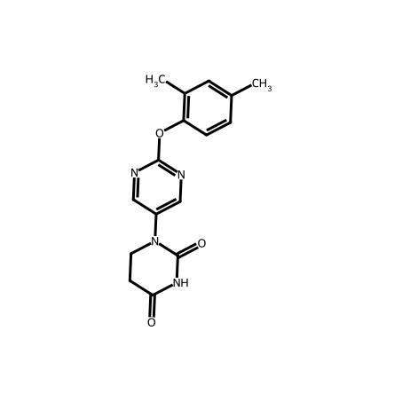 Cc1ccc(Oc2ncc(N3CCC(=O)NC3=O)cn2)c(C)c1